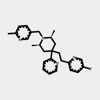 Cc1ccc(CN2[C@H](C)CC(CCc3ccc(F)cn3)(c3ccccn3)C[C@@H]2C)cn1